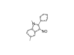 Cc1ccc2c(c1)c(N=O)c(-c1ccccc1)n2C